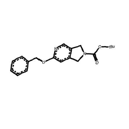 CC(C)(C)OC(=O)N1Cc2cnc(OCc3ccccc3)cc2C1